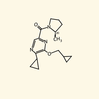 C[C@@H]1CCCN1C(=O)c1cnc(C2CC2)c(OCC2CC2)n1